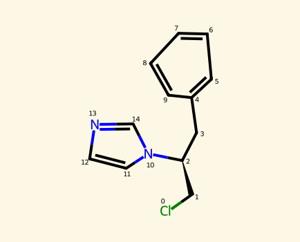 ClC[C@H](Cc1ccccc1)n1ccnc1